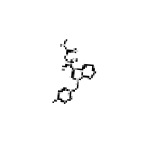 CNC(=O)CS(=O)(=O)c1cn(Cc2ccc(Cl)cc2)c2ccccc12